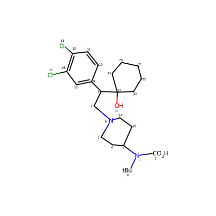 CC(C)(C)N(C(=O)O)C1CCN(CC(c2ccc(Cl)c(Cl)c2)C2(O)CCCCC2)CC1